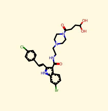 O=C(NCCN1CCN(C(=O)CCC(O)O)CC1)c1c(/C=C/c2ccc(Cl)cc2)[nH]c2cc(Br)ccc12